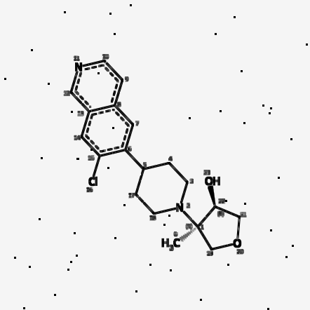 C[C@@]1(N2CCC(c3cc4ccncc4cc3Cl)CC2)COC[C@@H]1O